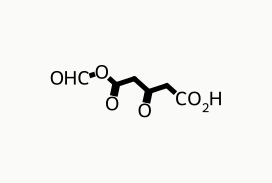 O=COC(=O)CC(=O)CC(=O)O